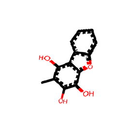 Cc1c(O)c(O)c2oc3ccccc3c2c1O